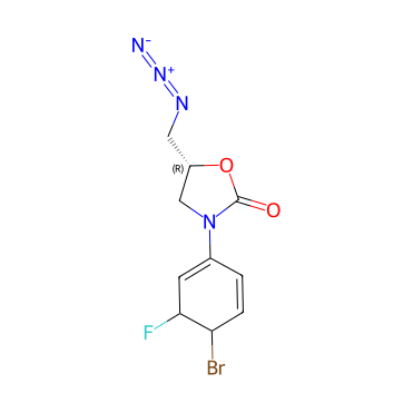 [N-]=[N+]=NC[C@H]1CN(C2=CC(F)C(Br)C=C2)C(=O)O1